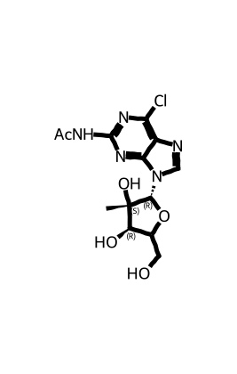 CC(=O)Nc1nc(Cl)c2ncn([C@@H]3OC(CO)[C@@H](O)[C@]3(C)O)c2n1